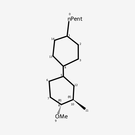 CCCCCC1CCC(C2CC[C@@H](OC)[C@H](C)C2)CC1